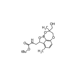 Cc1ccc2c3c1C(CNC(=O)OC(C)(C)C)OB3OC(C)(CO)CO2